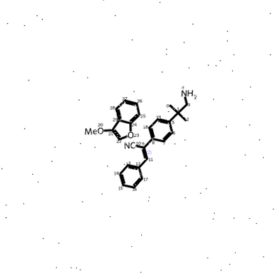 CC(C)(CN)c1ccc(/C(C#N)=C/c2ccccc2)cc1.COc1coc2ccccc12